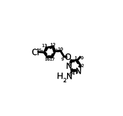 Cc1cnc(N)nc1OCCc1ccc(Cl)cc1